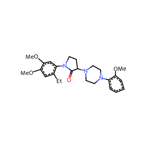 CCc1cc(OC)c(OC)cc1N1CCC(N2CCN(c3ccccc3OC)CC2)C1=O